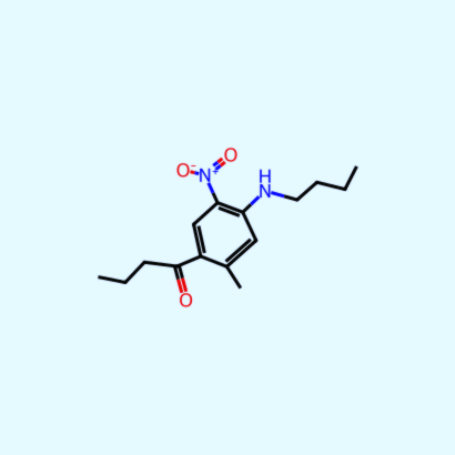 CCCCNc1cc(C)c(C(=O)CCC)cc1[N+](=O)[O-]